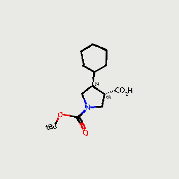 CC(C)(C)OC(=O)N1C[C@@H](C(=O)O)[C@H](C2CCCCC2)C1